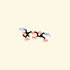 CC12C(O)COC1(CN)C2COCC1OC2(CN)C(CO)C2C1O